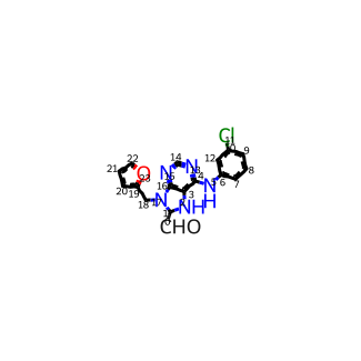 O=CC1Nc2c(Nc3cccc(Cl)c3)ncnc2N1Cc1ccco1